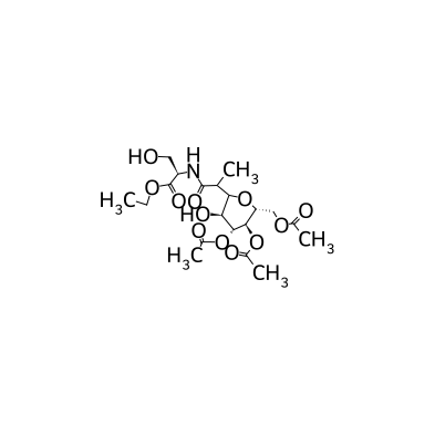 CCOC(=O)[C@@H](CO)NC(=O)C(C)C1O[C@H](COC(C)=O)[C@@H](OC(C)=O)[C@H](OC(C)=O)[C@H]1O